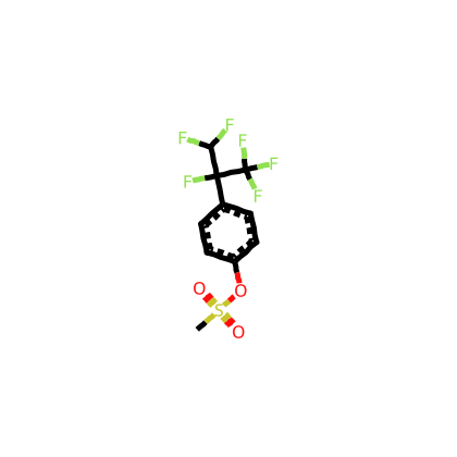 CS(=O)(=O)Oc1ccc(C(F)(C(F)F)C(F)(F)F)cc1